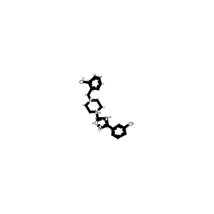 Clc1cccc(-c2noc(N3CCN(Cc4ccccc4Cl)CC3)n2)c1